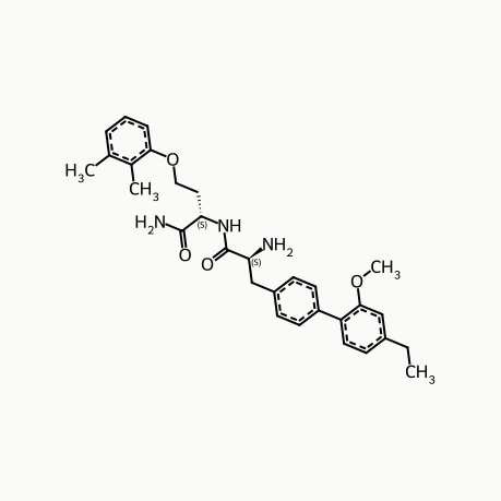 CCc1ccc(-c2ccc(C[C@H](N)C(=O)N[C@@H](CCOc3cccc(C)c3C)C(N)=O)cc2)c(OC)c1